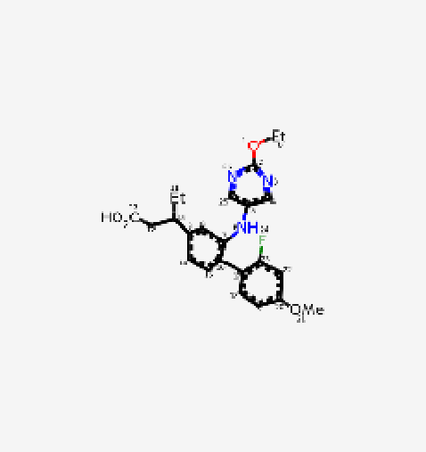 CCOc1ncc(Nc2cc(C(CC)CC(=O)O)ccc2-c2ccc(OC)cc2F)cn1